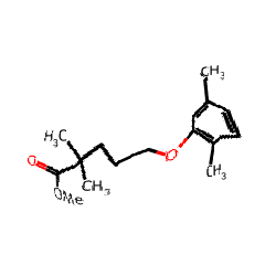 COC(=O)C(C)(C)CCCOc1cc(C)ccc1C